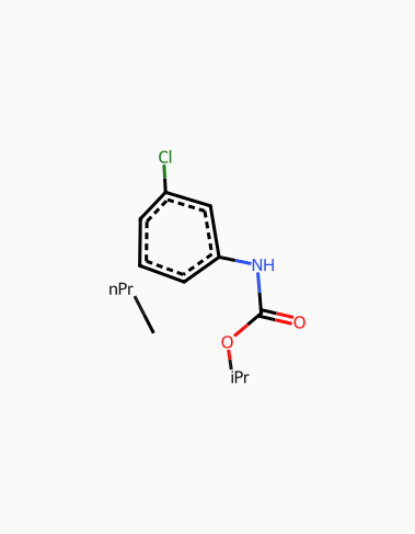 CC(C)OC(=O)Nc1cccc(Cl)c1.CCCC